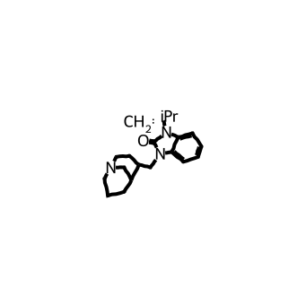 CC(C)n1c(=O)n(CC2CCN3CCCC2C3)c2ccccc21.[CH2]